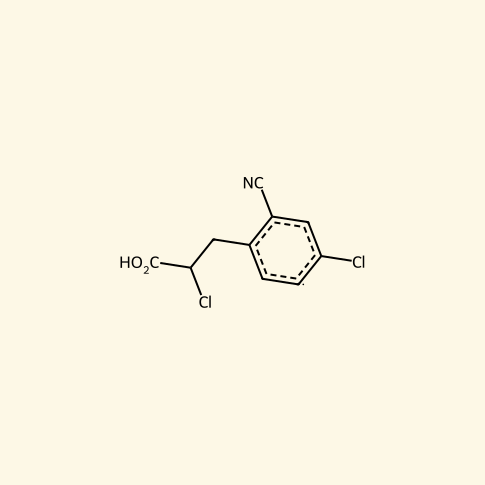 N#Cc1cc(Cl)[c]cc1CC(Cl)C(=O)O